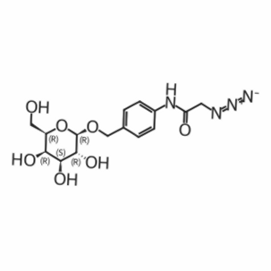 [N-]=[N+]=NCC(=O)Nc1ccc(CO[C@@H]2O[C@H](CO)[C@H](O)[C@H](O)[C@H]2O)cc1